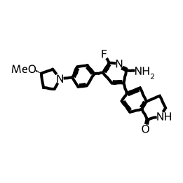 CO[C@H]1CCN(c2ccc(-c3cc(-c4ccc5c(c4)CCNC5=O)c(N)nc3F)cc2)C1